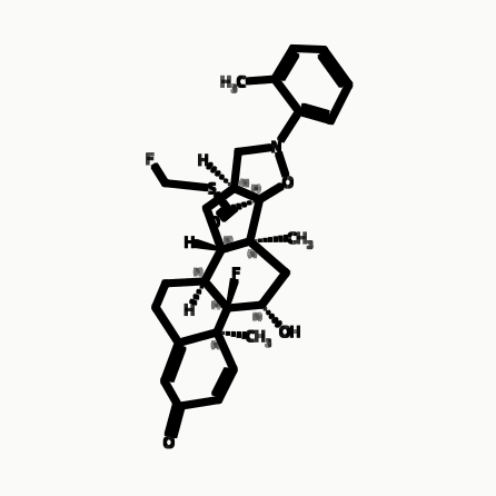 Cc1ccccc1N1C[C@@H]2C[C@H]3[C@@H]4CCC5=CC(=O)C=C[C@]5(C)[C@@]4(F)[C@@H](O)C[C@]3(C)[C@]2(C(=O)SCF)O1